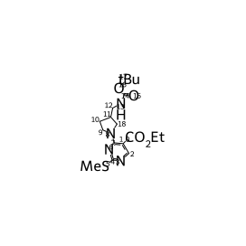 CCOC(=O)c1cnc(SC)nc1N1CCC(CNC(=O)OC(C)(C)C)C1